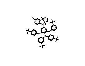 CC(C)(C)c1ccc(N2c3ccc(C(C)(C)C)cc3B3c4ccc(C(C)(C)C)cc4N(c4cccc(C(C)(C)C)c4)c4cc(N5c6ccc(F)cc6C6(C)CCCC56C)cc2c43)cc1